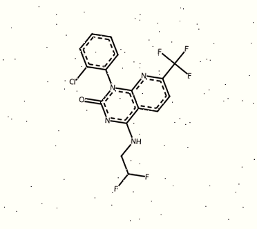 O=c1nc(NCC(F)F)c2ccc(C(F)(F)F)nc2n1-c1ccccc1Cl